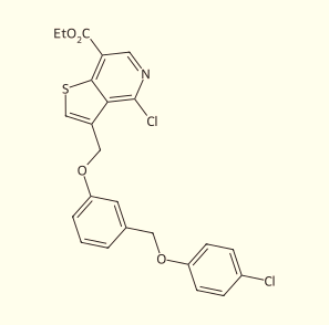 CCOC(=O)c1cnc(Cl)c2c(COc3cccc(COc4ccc(Cl)cc4)c3)csc12